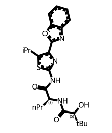 CCC[C@H](NC(=O)[C@@H](O)C(C)(C)C)C(=O)Nc1nc(-c2nc3ccccc3o2)c(C(C)C)s1